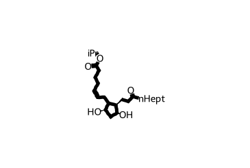 CCCCCCCC(=O)CC[C@@H]1C(C/C=C\CCCC(=O)OC(C)C)[C@@H](O)C[C@H]1O